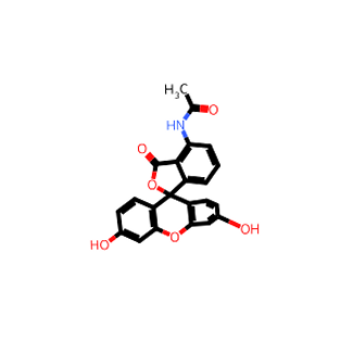 CC(=O)Nc1cccc2c1C(=O)OC21c2ccc(O)cc2Oc2cc(O)ccc21